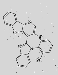 Cc1cnc2c(oc3ccccc32)c1-c1nc2ccccc2n1-c1c(C(C)C)cccc1C(C)C